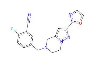 N#Cc1cc(CN2CCn3nc(-c4ncco4)cc3C2)ccc1F